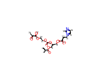 C=C(C)C(=O)OCC(COC(=O)CCn1ccnc1)OC(=O)OCCOC(=O)C(C)=O